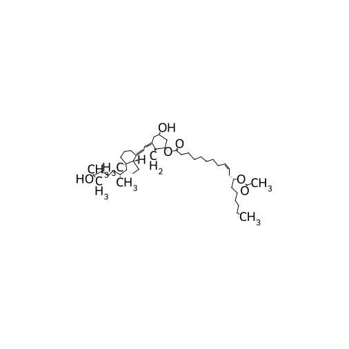 C=C1/C(=C\C=C2/CCC[C@]3(C)[C@@H]([C@H](C)CCCC(C)(C)O)CC[C@@H]23)C[C@@H](O)C[C@@H]1OC(=O)CCCCCCC/C=C\C[C@@H](CCCCCC)OC(C)=O